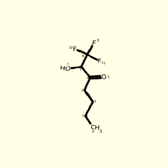 CCCCC(=O)C(O)C(F)(F)F